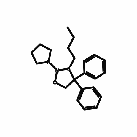 CCCCB1N(N2CCCC2)OCC1(c1ccccc1)c1ccccc1